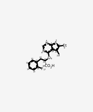 CCc1sc2ncnc(O[C@@H](Cc3ccccc3F)C(=O)O)c2c1I